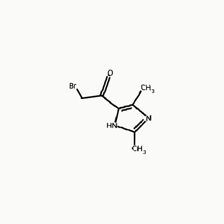 Cc1nc(C)c(C(=O)CBr)[nH]1